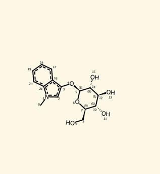 Cn1cc(O[C@@H]2O[C@H](CO)[C@@H](O)[C@H](O)[C@H]2O)c2ccccc21